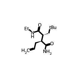 C=CC[C@H](C(N)=O)[C@@H](CC(C)(C)C)C(=O)NCC